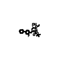 CCOC(=O)[C@@H](CO)C[C@@H](Cc1ccc(-c2ccccc2)cc1F)NC(=O)OC(C)(C)C